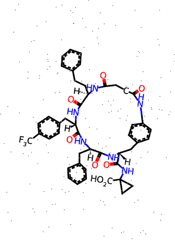 O=C1CCC(=O)N[C@H](CCc2ccccc2)C(=O)N[C@@H](Cc2ccc(C(F)(F)F)cc2)C(=O)N[C@H](Cc2ccccc2)C(=O)N[C@@H](C(=O)NC2(C(=O)O)CC2)Cc2ccc(cc2)N1